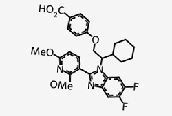 COc1ccc(-c2nc3cc(F)c(F)cc3n2C(COc2ccc(C(=O)O)cc2)C2CCCCC2)c(OC)n1